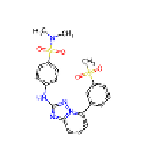 CN(C)S(=O)(=O)c1ccc(Nc2nc3cccc(-c4cccc(S(C)(=O)=O)c4)n3n2)cc1